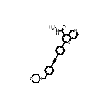 NNC(=O)c1cc(-c2ccc(C#Cc3ccc(CN4CCOCC4)cc3)cc2)nc2ccncc12